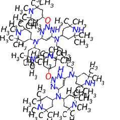 CN1C(C)(C)CC(ON2N=C(N(C3CC(C)(C)N(C)C(C)(C)C3)C3CC(C)(C)N(C)C(C)(C)C3)C=C(N(CCCCCCN(C3=CC(N(C4CC(C)(C)N(C)C(C)(C)C4)C4CC(C)(C)N(C)C(C)(C)C4)=NN(OC4CC(C)(C)N(C)C(C)(C)C4)N3)C3CC(C)(C)NC(C)(C)C3)C3CC(C)(C)NC(C)(C)C3)N2)CC1(C)C